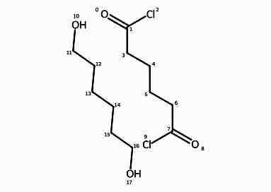 O=C(Cl)CCCCC(=O)Cl.OCCCCCCO